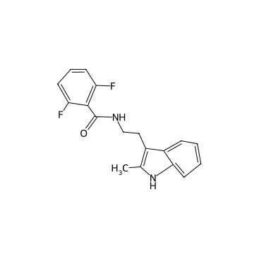 Cc1[nH]c2ccccc2c1CCNC(=O)c1c(F)cccc1F